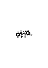 O=C(NC(=S)Nc1cc(Br)ccc1I)c1ccccc1